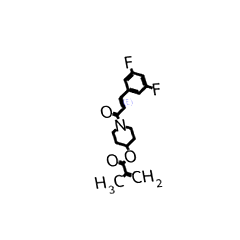 C=C(C)C(=O)OC1CCN(C(=O)/C=C/c2cc(F)cc(F)c2)CC1